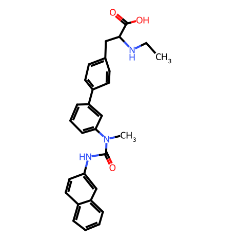 CCNC(Cc1ccc(-c2cccc(N(C)C(=O)Nc3ccc4ccccc4c3)c2)cc1)C(=O)O